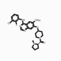 COc1cc2c(Nc3cccc(Cl)c3F)ncnc2cc1OC1CCN(C(=O)[C@H]2CCCN2C)CC1